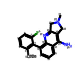 COc1cccc(F)c1-c1cccc2c(N)c3c(nc12)CN(C)C3